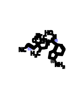 CC(C)OC(C)(/C=C/C#N)C(C)CN(C)/C(=N\O)c1cccc2c1CC[C@H]2N